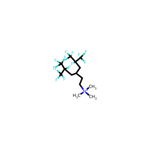 C[N+](C)(C)CCC(CC(F)(C(F)(F)F)C(F)(F)F)CC(F)(C(F)(F)F)C(F)(F)F